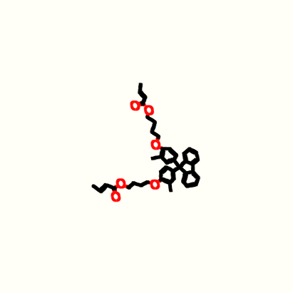 CC=CC(=O)OCCCCOc1ccc(C2(c3ccc(OCCCCOC(=O)C=CC)c(C)c3)c3ccccc3-c3ccccc32)cc1C